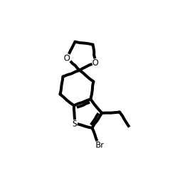 CCc1c(Br)sc2c1CC1(CC2)OCCO1